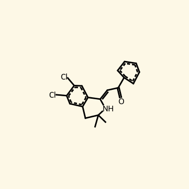 CC1(C)Cc2cc(Cl)c(Cl)cc2C(=CC(=O)c2ccccc2)N1